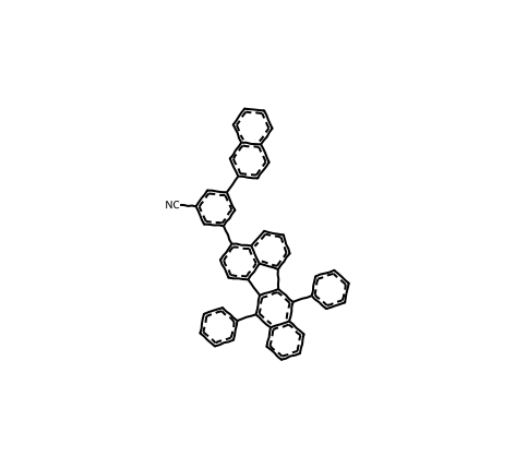 N#Cc1cc(-c2ccc3ccccc3c2)cc(-c2ccc3c4c(cccc24)-c2c-3c(-c3ccccc3)c3ccccc3c2-c2ccccc2)c1